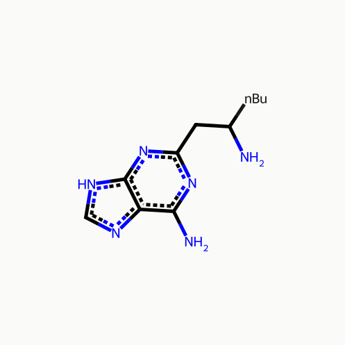 CCCCC(N)Cc1nc(N)c2nc[nH]c2n1